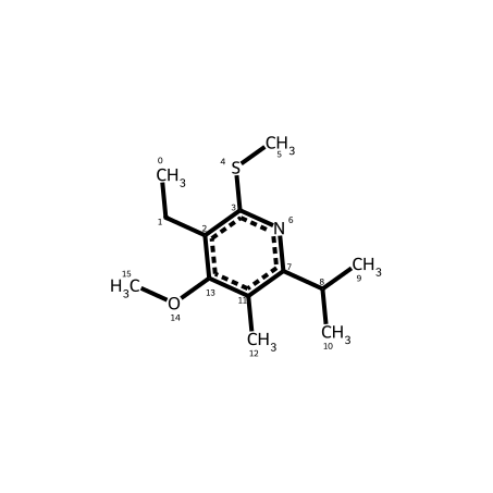 CCc1c(SC)nc(C(C)C)c(C)c1OC